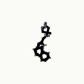 CC(CO)(CO)NCc1cc2ccc3ccccc3c2s1